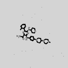 Cc1ccccc1-c1nc(C(N)=O)c(Nc2ccc(N3CCC(N4CCN(C)CC4)CC3)cc2)nc1NC1CCOCC1